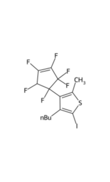 CCCCc1c(I)sc(C)c1C1(F)C(F)C(F)=C(F)C1(F)F